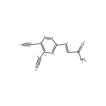 N#Cc1ccc(C=CC(N)=O)cc1C#N